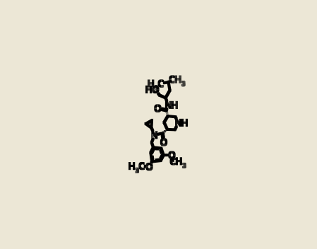 COc1cc(CN(C(=O)[C@H]2CNC[C@@H](C(=O)NC(CO)CC(C)C)C2)C2CC2)cc(OC)c1